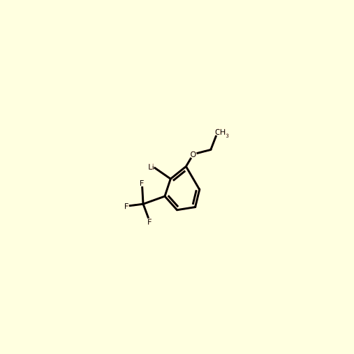 [Li][c]1c(OCC)cccc1C(F)(F)F